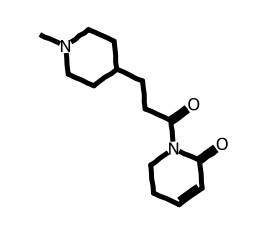 CN1CCC(CCC(=O)N2CCC=CC2=O)CC1